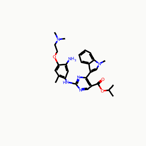 Cc1cc(OCCN(C)C)c(N)cc1Nc1ncc(C(=O)OC(C)C)c(-c2cn(C)c3ccccc23)n1